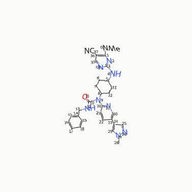 CNc1nc(NC2CCC(N(C(=O)NCc3ccccc3)c3ccc(-c4cnn(C)c4)cn3)CC2)ncc1C#N